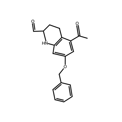 CC(=O)c1cc(OCc2ccccc2)cc2c1CCC(C=O)N2